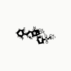 CNS(=O)(=O)c1cccc([C@@]23CC[C@@H](c4cc(-c5c(F)cccc5F)nnc42)C3(C)C)n1